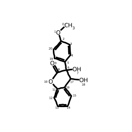 COc1ccc(C2(O)C(=O)Oc3ccccc3C2O)cc1